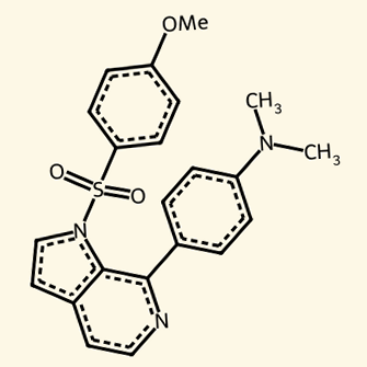 COc1ccc(S(=O)(=O)n2ccc3ccnc(-c4ccc(N(C)C)cc4)c32)cc1